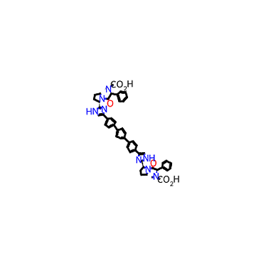 CN(C(=O)O)[C@@H](C(=O)N1CCC[C@H]1c1nc(-c2ccc(-c3ccc(-c4ccc(-c5c[nH]c([C@@H]6CCCN6C(=O)[C@@H](c6ccccc6)N(C)C(=O)O)n5)cc4)cc3)cc2)c[nH]1)c1ccccc1